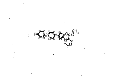 COC(=O)C1COCCN1c1nc(-c2ccc(-c3ccc(F)cc3)cc2)cs1